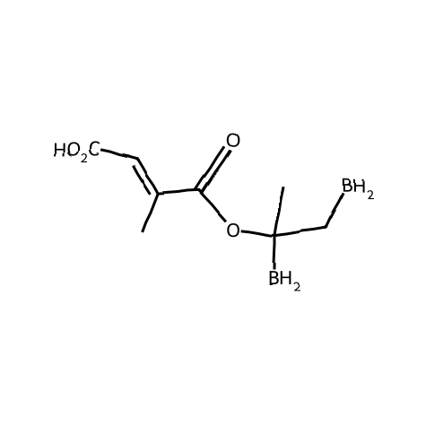 BCC(B)(C)OC(=O)/C(C)=C/C(=O)O